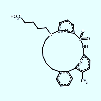 O=C(O)CCCCN1CCCCCc2ccccc2-c2nc(ccc2C(F)(F)F)NS(=O)(=O)c2cccc1n2